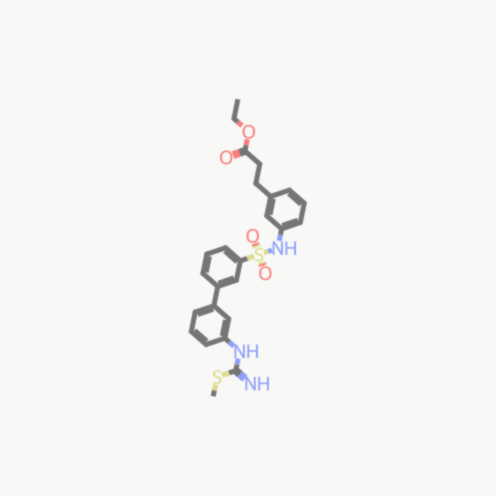 CCOC(=O)CCc1cccc(NS(=O)(=O)c2cccc(-c3cccc(NC(=N)SC)c3)c2)c1